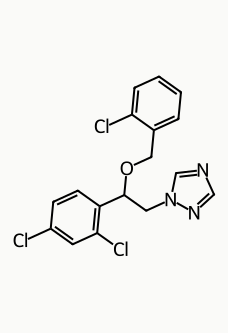 Clc1ccc(C(Cn2cncn2)OCc2ccccc2Cl)c(Cl)c1